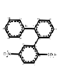 O=[N+]([O-])c1ccc(S(=O)(=O)O)c(-c2ccccc2-c2ccccc2)c1